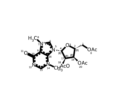 CC(=O)OC[C@H]1O[C@@H](n2c[n+](C)c3c(=O)ncn(C)c32)[C@H](OC(C)=O)[C@@H]1OC(C)=O